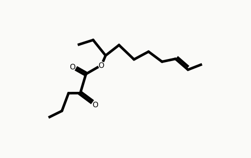 CC=CCCCCC(CC)OC(=O)C(=O)CCC